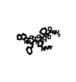 [N-]=[N+]=NC1CC(C(=O)NC2(C(=O)C(N)=O)CCCCC2)N(C(=O)[C@@H](CC2CCCCC2)NC(=O)c2ccc3ccccc3c2)C1